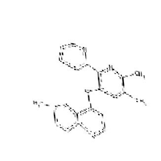 Cc1ccc2nccc(Oc3cc(C)c(C)nc3-c3ccccn3)c2c1